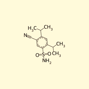 CC(C)c1cc(C(C)C)c(S(N)(=O)=O)cc1C#N